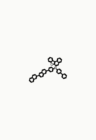 c1ccc(-c2ccc(N(c3ccc(-c4ccc5cc(-c6ccc7ccccc7c6)ccc5c4)cc3)c3cc4ccccc4c4c3oc3ccccc34)cc2)cc1